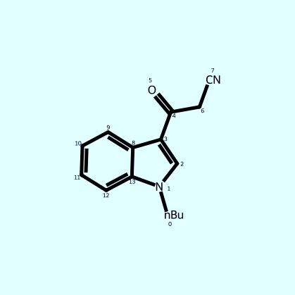 CCCCn1cc(C(=O)CC#N)c2ccccc21